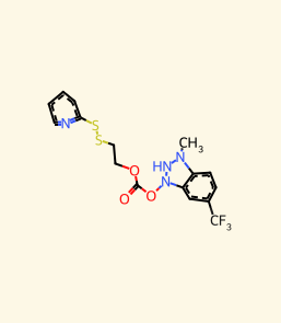 CN1NN(OC(=O)OCCSSc2ccccn2)c2cc(C(F)(F)F)ccc21